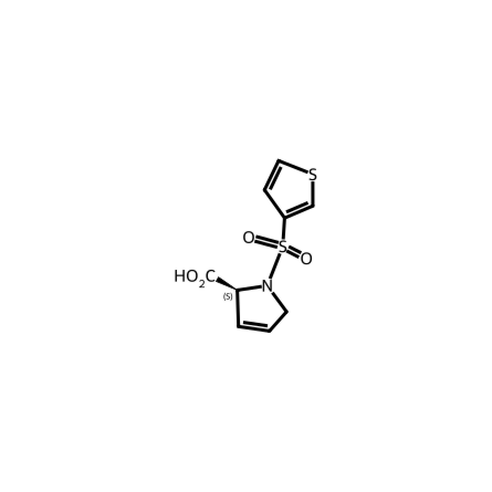 O=C(O)[C@@H]1C=CCN1S(=O)(=O)c1ccsc1